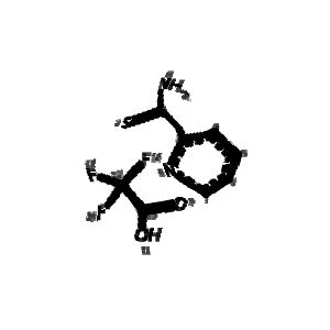 NC(=S)c1ccccn1.O=C(O)C(F)(F)F